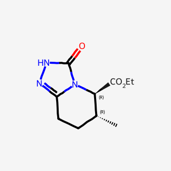 CCOC(=O)[C@H]1[C@H](C)CCc2n[nH]c(=O)n21